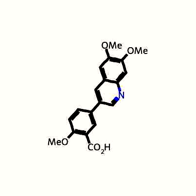 COc1cc2cc(-c3ccc(OC)c(C(=O)O)c3)cnc2cc1OC